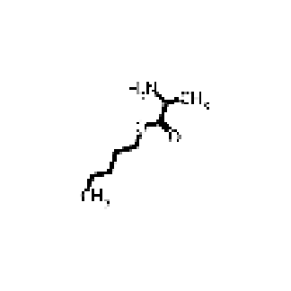 CCCCCOC(=O)C(C)N